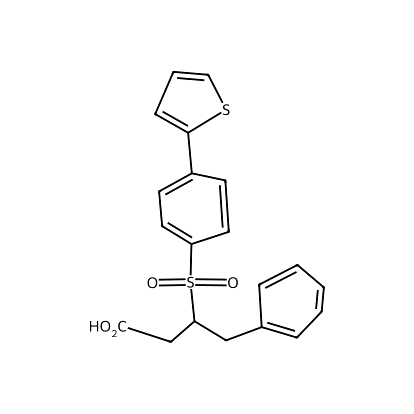 O=C(O)CC(Cc1ccccc1)S(=O)(=O)c1ccc(-c2cccs2)cc1